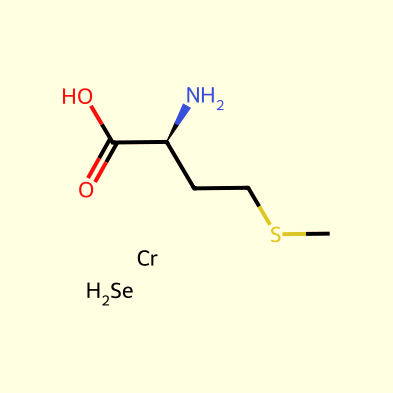 CSCC[C@H](N)C(=O)O.[Cr].[SeH2]